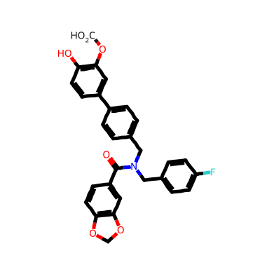 O=C(O)Oc1cc(-c2ccc(CN(Cc3ccc(F)cc3)C(=O)c3ccc4c(c3)OCO4)cc2)ccc1O